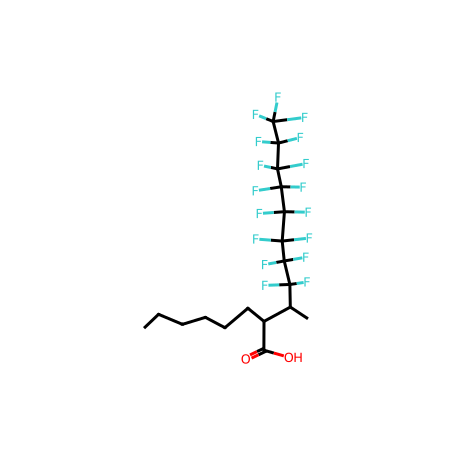 CCCCCCC(C(=O)O)C(C)C(F)(F)C(F)(F)C(F)(F)C(F)(F)C(F)(F)C(F)(F)C(F)(F)C(F)(F)F